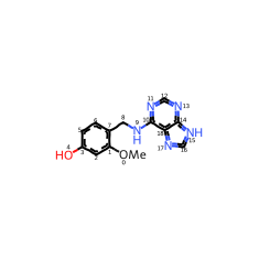 COc1cc(O)ccc1CNc1ncnc2[nH]cnc12